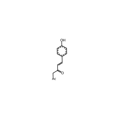 CC(=O)CC(=O)C=Cc1ccc(O)cc1